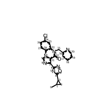 CC1CC1c1nc(-c2ncn3c2c(=O)n(Cc2ccccn2)c2cc(Cl)ccc23)no1